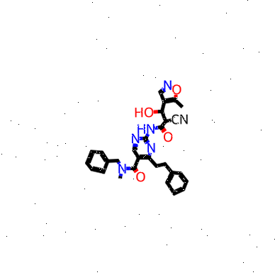 Cc1oncc1C(O)C(C#N)C(=O)Nc1ncc(C(=O)N(C)Cc2ccccc2)c(CCc2ccccc2)n1